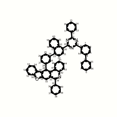 c1ccc(-c2cccc(-c3nc(-c4ccccc4)nc(-c4ccc(-c5cccc(-c6c7c(cc8c(-c9ccccc9)nc9ccccc9c68)oc6ccccc67)c5)c5ccccc45)n3)c2)cc1